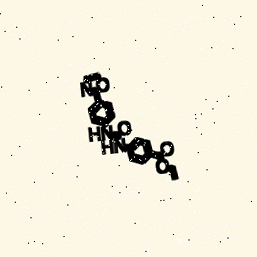 CCOC(=O)c1ccc(NC(=O)Nc2ccc(C3=NCCO3)cc2)cc1